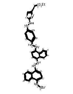 CCOC(=O)Cc1csc(NNc2ccc(NNc3ccc(NNc4ccc(NC(C)CC)c5ccccc45)c4ccccc34)cc2)n1